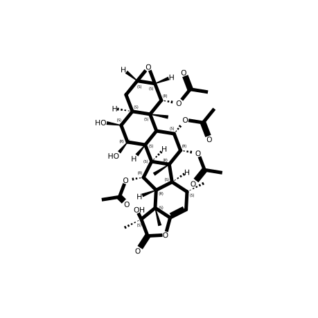 CC(=O)O[C@@H]1[C@H]2[C@H]3C([C@H](OC(C)=O)[C@H](OC(C)=O)[C@]2(C)[C@@H]2[C@@H]1[C@]1(C)C(=C[C@H]2C)OC(=O)[C@@]1(C)O)[C@]1(C)[C@H](C[C@@H]2O[C@@H]2[C@@H]1OC(C)=O)[C@H](O)[C@@H]3O